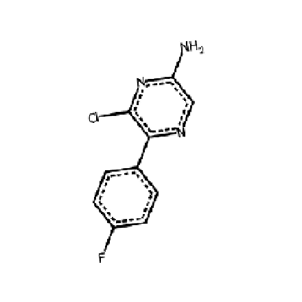 Nc1cnc(-c2ccc(F)cc2)c(Cl)n1